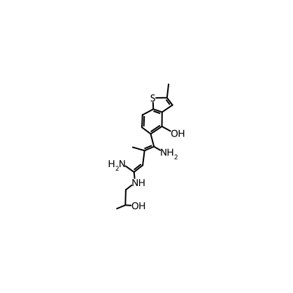 CC(/C=C(\N)NCC(C)O)=C(/N)c1ccc2sc(C)cc2c1O